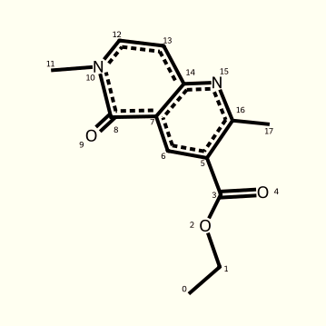 CCOC(=O)c1cc2c(=O)n(C)ccc2nc1C